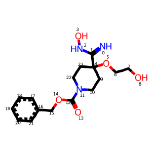 N=C(NO)C1(OCCO)CCN(C(=O)OCc2ccccc2)CC1